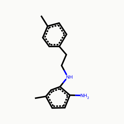 Cc1ccc(CCNc2cc(C)ccc2N)cc1